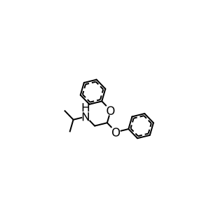 CC(C)NCC(Oc1ccccc1)Oc1ccccc1